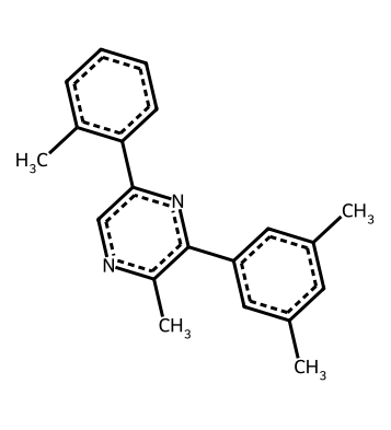 Cc1cc(C)cc(-c2nc(-c3ccccc3C)cnc2C)c1